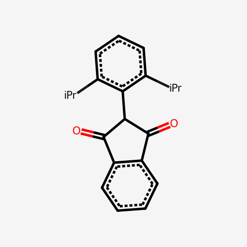 CC(C)c1cccc(C(C)C)c1C1C(=O)c2ccccc2C1=O